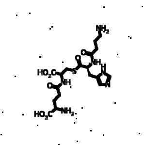 NCCCC(=O)N[C@@H](Cc1cnc[nH]1)C(=O)SCC(NC(=O)CCC(N)C(=O)O)C(=O)O